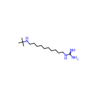 CC(C)(C)NCCCCCCCCCCNC(=N)N